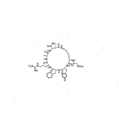 CC(=O)NCC(=O)NC1CCCCNC(=O)CC(C(N)=O)NC(=O)[C@H](C)NC(=O)[C@H](CCCNC(=N)N)NC(=O)C(Cc2ccccc2)NC(=O)[C@H](Cc2c[nH]cn2)NC1=O